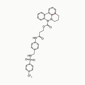 O=C(CCOC(=O)N(c1ccccc1-c1ccccc1)N1CC[CH]CC1)Nc1ccc(CNS(=O)(=O)c2ccc(C(F)(F)F)cc2)cc1